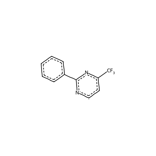 FC(F)(F)c1c[c]nc(-c2ccccc2)n1